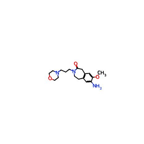 COc1cc2c(cc1N)CCN(CCCN1CCOCC1)C(=O)C2